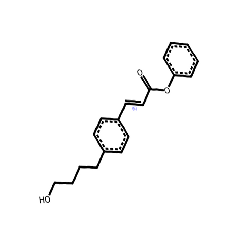 O=C(/C=C/c1ccc(CCCCO)cc1)Oc1ccccc1